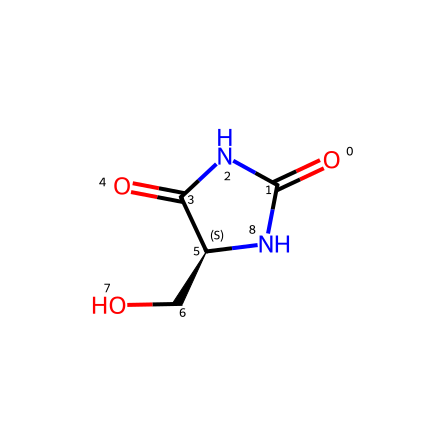 O=C1NC(=O)[C@H](CO)N1